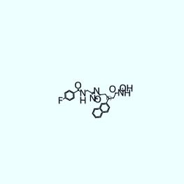 O=C(C[C@H](Cc1nc(CNC(=O)c2ccc(F)cc2)no1)c1ccc2ccccc2c1)NO